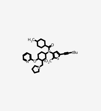 CC1CCC(C(=O)N(c2cc(C#CC(C)(C)C)sc2C(=O)O)C2CCC(Oc3ccccn3)C(CN3CCCC3)C2)CC1